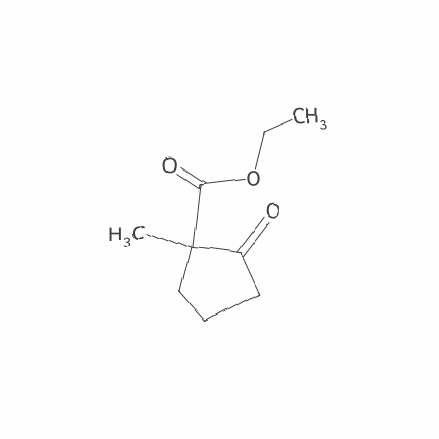 CCOC(=O)C1(C)CCCC1=O